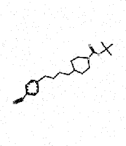 CC(C)(C)OC(=O)N1CCC(CCCCc2ccc(C#N)cc2)CC1